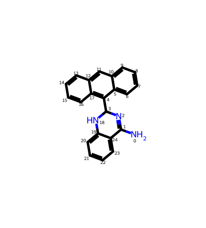 NC1=NC(c2c3ccccc3cc3ccccc23)Nc2ccccc21